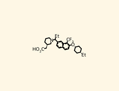 CCC(c1ccc2ccc(O[C@H]3CC[C@@H](CC)CC3)c(C(F)(F)F)c2c1)N1CCC[C@H](CC(=O)O)C1